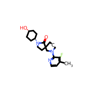 Cc1ccnc(N2CCCC3(CCN([C@H]4CC[C@@H](O)CC4)C3=O)C2)c1F